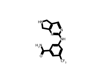 NC(=O)c1cc(Nc2ncc3c(n2)CNC3)cc(C(F)(F)F)c1